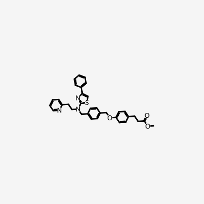 COC(=O)CCc1ccc(OCc2ccc(CN(CCc3ccccn3)c3nc(-c4ccccc4)cs3)cc2)cc1